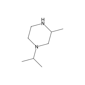 CC1CN(C(C)C)CCN1